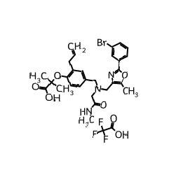 C=CCc1cc(CN(CC(=O)NC)Cc2nc(-c3cccc(Br)c3)oc2C)ccc1OC(C)(C)C(=O)O.O=C(O)C(F)(F)F